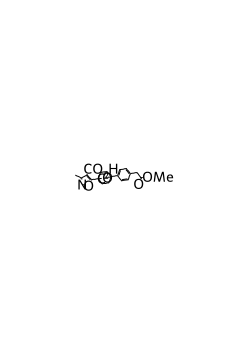 COC(=O)Cc1ccc(C23CCC(c4onc(C)c4C(=O)O)(CC2)CO3)cc1